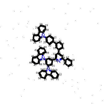 c1ccc(-c2cc(-c3cccc(-c4ccc(-n5c6ccccc6c6ccccc65)cc4)c3)cc(-c3cc(-n4c5ccccc5c5ccccc54)cc(-n4c5ccccc5c5ccccc54)c3)n2)cc1